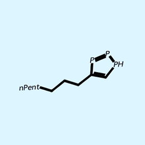 CCCCCCCCc1c[pH]pp1